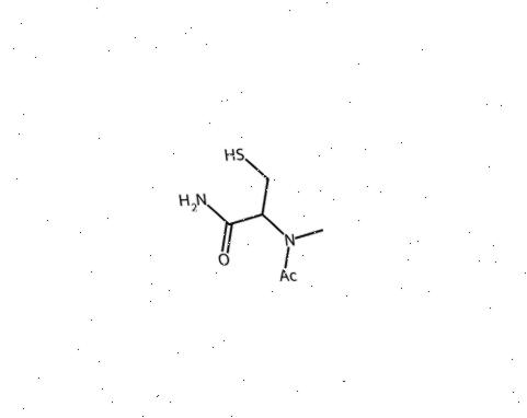 CC(=O)N(C)C(CS)C(N)=O